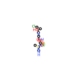 O=C(NS(=O)(=O)c1ccc(NC(CCN2CCNCC2)CSc2ccccc2)c(S(=O)(=O)C(F)(F)F)c1)c1ccc(N2CCC(C(O)c3ccccc3-c3ccc(Cl)cc3)CC2)cc1